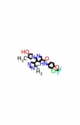 Cc1ncncc1-c1cc(C(=O)Nc2ccc(OC(F)(F)Cl)cc2)cnc1N1C[C@H](C)[C@@H](O)C1